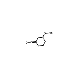 CCCCON1CCNC(=C=O)C1